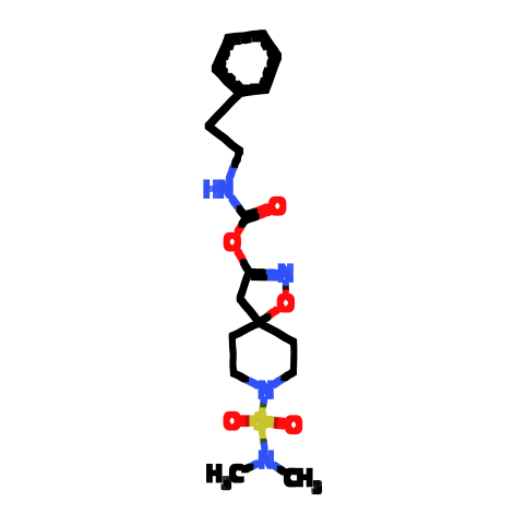 CN(C)S(=O)(=O)N1CCC2(CC1)CC(OC(=O)NCCc1ccccc1)=NO2